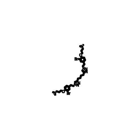 CN(C)CCCOc1ccc(CCn2cc(CCCCc3cn(CCc4ccc(OCCCN(C)C)c(Br)c4)nn3)nn2)cc1Br